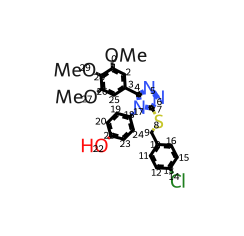 COc1cc(-c2nnc(SCc3ccc(Cl)cc3)n2-c2ccc(O)cc2)cc(OC)c1OC